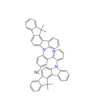 CC1(C)c2ccccc2-c2ccc3c(c21)c1ccccc1n3-c1ccc(C#N)cc1-c1ncccc1-n1c2ccccc2c2c3c(ccc21)-c1ccccc1C3(C)C